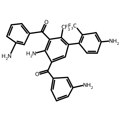 Nc1cccc(C(=O)c2cc(-c3ccc(N)cc3C(F)(F)F)c(C(F)(F)F)c(C(=O)c3cccc(N)c3)c2N)c1